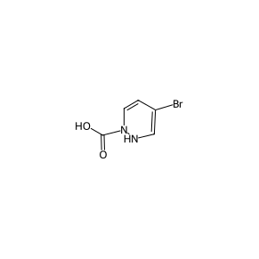 O=C(O)N1C=CC(Br)=CN1